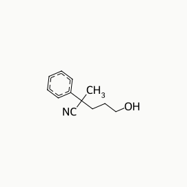 CC(C#N)(CCCO)c1ccccc1